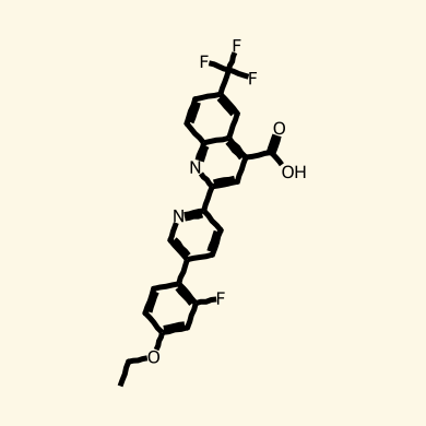 CCOc1ccc(-c2ccc(-c3cc(C(=O)O)c4cc(C(F)(F)F)ccc4n3)nc2)c(F)c1